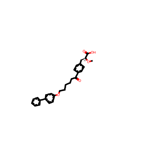 CO[C@@H](Cc1ccc(C(=O)CCCCCOc2ccc(-c3ccccc3)cc2)cc1)C(=O)O